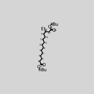 CCCCOC(=O)CCCCCCCCCCCC(CC)CC(=O)OCCCC